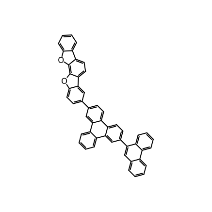 c1ccc2c(c1)cc(-c1ccc3c4ccc(-c5ccc6oc7c(ccc8c9ccccc9oc87)c6c5)cc4c4ccccc4c3c1)c1ccccc12